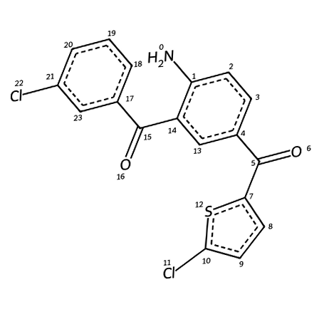 Nc1ccc(C(=O)c2ccc(Cl)s2)cc1C(=O)c1cccc(Cl)c1